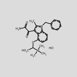 Cc1c(C(=O)C(N)=O)c2c(OC(C(=O)O)[N+](C)(C)C)cccc2n1Cc1ccccc1.Cl